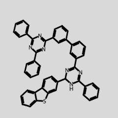 c1ccc(C2=NC(c3cccc(-c4cccc(-c5nc(-c6ccccc6)nc(-c6ccccc6)n5)c4)c3)=NC(c3ccc4c(c3)sc3ccccc34)N2)cc1